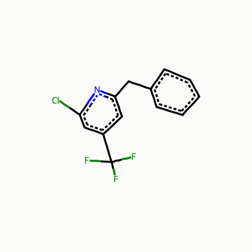 FC(F)(F)c1cc(Cl)nc(Cc2ccccc2)c1